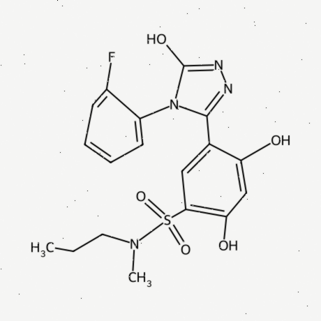 CCCN(C)S(=O)(=O)c1cc(-c2nnc(O)n2-c2ccccc2F)c(O)cc1O